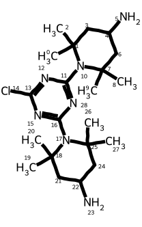 CC1(C)CC(N)CC(C)(C)N1c1nc(Cl)nc(N2C(C)(C)CC(N)CC2(C)C)n1